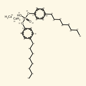 CCCCCCCCc1ccc(OP(=O)(O)Oc2ccc(CCCCCCCC)cc2)cc1.[CaH2].[CaH2]